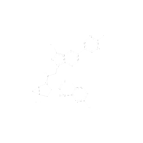 CC(=O)c1nn(CC(=O)N2C3C[C@]3(C)C[C@H]2C(=O)Nc2nc(Br)ccc2C)c2ccc(-c3cnc(C)nc3)cc12